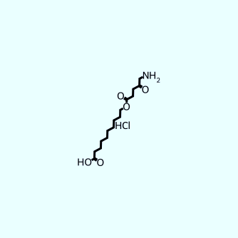 Cl.NCC(=O)CCC(=O)OCCCCCCCCCC(=O)O